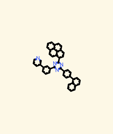 c1cncc(-c2cccc(-c3nc(-c4ccc(-c5cccc6ccccc56)cc4)nc(-c4ccc5ccc6cccc7ccc4c5c67)n3)c2)c1